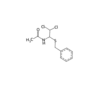 CC(=O)NC(SCc1ccccc1)C(Cl)Cl